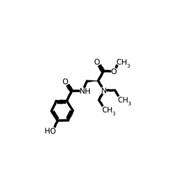 CCN(CC)[C@@H](CNC(=O)c1ccc(O)cc1)C(=O)OC